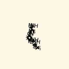 CC(C)(C)c1cc(NC(=O)Nc2cc(Oc3nccc(-c4cn[nH]c4)n3)ccc2F)cs1